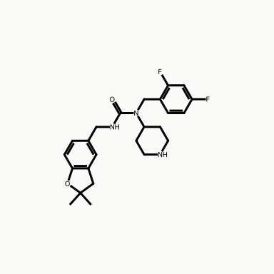 CC1(C)Cc2cc(CNC(=O)N(Cc3ccc(F)cc3F)C3CCNCC3)ccc2O1